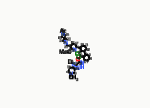 CCn1c(C(=O)Nc2cccc(-c3cccc(-c4ccc(CN5CC6(C5)CN(C(C)=O)C6)c(OC)n4)c3Cl)c2Cl)nc2c1CCN(C)C2